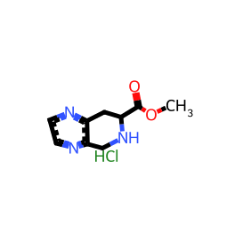 COC(=O)C1Cc2nccnc2CN1.Cl